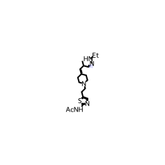 CCN/N=C\C(C)C=C1CCN(CCc2cnc(NC(C)=O)s2)CC1